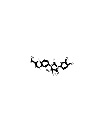 CC1(C)C(=O)N(c2ccc(C#N)c(C(F)(F)F)c2)C(=S)N1c1ccc2c(c1)SC=C(CO)O2